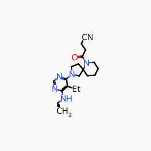 C=CNc1ncnc(N2CCC3(CCCCN3C(=O)CCC#N)C2)c1CC